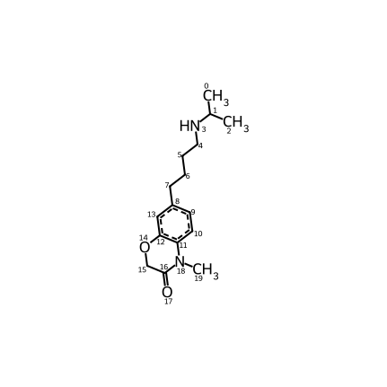 CC(C)NCCCCc1ccc2c(c1)OCC(=O)N2C